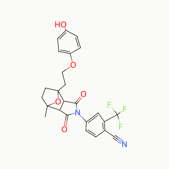 CC12CCC(CCOc3ccc(O)cc3)(O1)C1C(=O)N(c3ccc(C#N)c(C(F)(F)F)c3)C(=O)C12